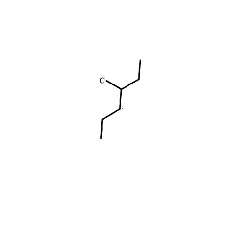 CC[CH]C(Cl)CC